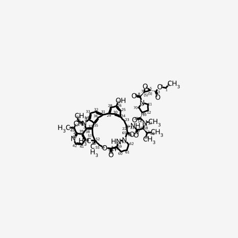 CCOC(=O)[C@H]1O[C@@H]1C(=O)N1CC[C@H](C(=O)N(C)[C@H](C(=O)N[C@H]2Cc3cc(O)cc(c3)-c3ccc4c(c3)c(c(-c3cccnc3C(C)C)n4CC)CC(C)(C)COC(=O)[C@@H]3CCCN(N3)C2=O)C(C)C)C1